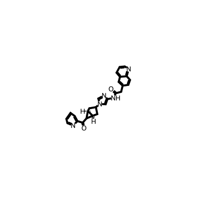 O=C(Cc1ccc2ncccc2c1)Nc1cn(C2C[C@@H]3C(C(=O)c4ccccn4)[C@H]3C2)cn1